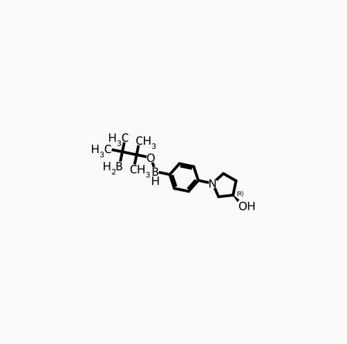 BC(C)(C)C(C)(C)OBc1ccc(N2CC[C@@H](O)C2)cc1